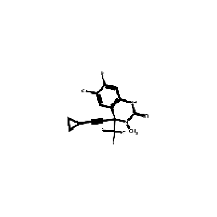 CN1C(=O)Nc2cc(Br)c(Cl)cc2C1(C#CC1CC1)C(F)(F)F